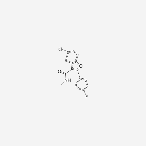 CNC(=O)c1c(-c2ccc(F)cc2)oc2ccc(Cl)cc12